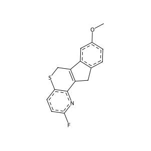 COc1ccc2c(c1)C1=C(C2)c2nc(F)ccc2SC1